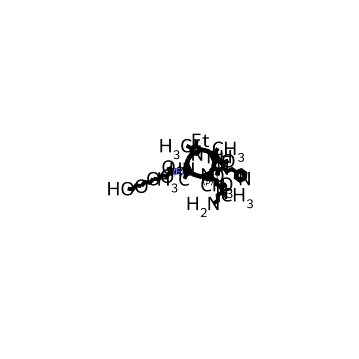 CCC1=C(C)c2cc3[nH]c(cc4nc(c5c6[nH]c(cc1n2)c(C)c6C(=O)N(CCc1ccncc1)C5=O)[C@@H](CCC(=O)N(C)CCN)[C@@H]4C)c(C)c3/C=C/C(=O)OCCOCCOCCO